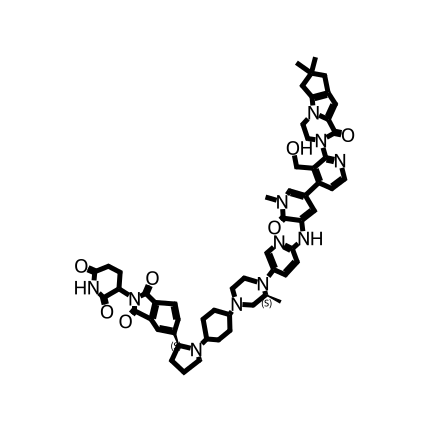 C[C@H]1CN(C2CCC(N3CCC[C@H]3c3ccc4c(c3)C(=O)N(C3CCC(=O)NC3=O)C4=O)CC2)CCN1c1ccc(Nc2cc(-c3ccnc(N4CCn5c(cc6c5CC(C)(C)C6)C4=O)c3CO)cn(C)c2=O)nc1